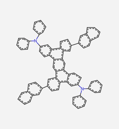 c1ccc(N(c2ccccc2)c2ccc3c(c2)c2ccc(-c4ccc5ccccc5c4)cc2c2cc4c5ccc(N(c6ccccc6)c6ccccc6)cc5c5ccc(-c6ccc7ccccc7c6)cc5c4cc32)cc1